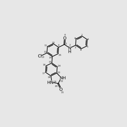 O=C(Nc1ccccc1)c1ccc(Cl)c(-c2ccc3[nH]c(=O)[nH]c3c2)c1